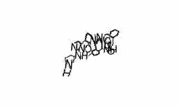 Cc1ccc2c(NS(=O)(=O)Cc3ccccc3C#N)cccc2c1Oc1ncccc1-c1ccnc(NC2CCCNC2)n1